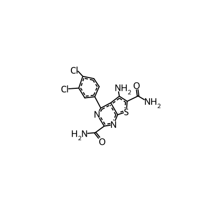 NC(=O)c1nc(-c2ccc(Cl)c(Cl)c2)c2c(N)c(C(N)=O)sc2n1